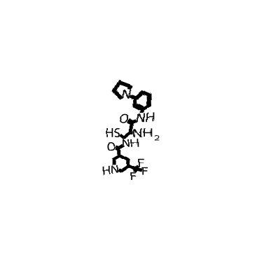 NC(C(=O)Nc1cccc(N2CCCC2)c1)C(S)NC(=O)C1CNCC(C(F)(F)F)C1